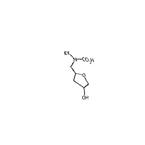 CCN(CC1CC(O)CO1)C(=O)O